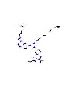 C#CCOCCOCCOCCNc1nc(N2CCN(C(=O)[C@H](C(C)C)n3cc(CCO)nn3)CC2)nc(N2CCN(C(=O)[C@H](C)n3cc(CCCN=C(N)N)nn3)CC2)n1.Cl